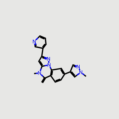 C=C1c2ccc(-c3cnn(C)c3)cc2-n2nc(-c3cccnc3)cc2N1C